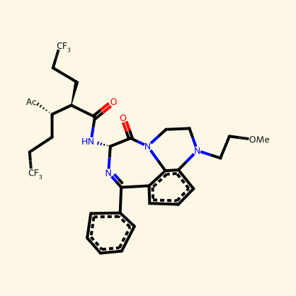 COCCN1CCN2C(=O)[C@@H](NC(=O)[C@H](CCC(F)(F)F)[C@H](CCC(F)(F)F)C(C)=O)N=C(c3ccccc3)c3cccc1c32